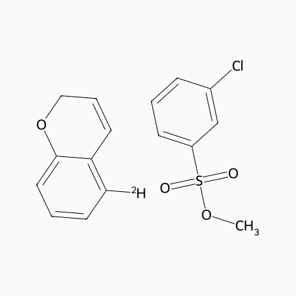 COS(=O)(=O)c1cccc(Cl)c1.[2H]c1cccc2c1C=CCO2